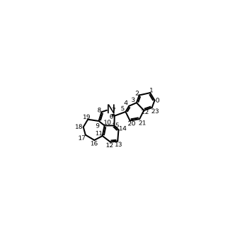 c1ccc2cc(-c3ncc4c5c(cccc35)CCCC4)ccc2c1